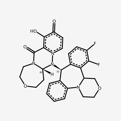 O=C1c2c(O)c(=O)ccn2N([C@@H]2c3ccccc3N3CCOCC3c3c2ccc(F)c3F)[C@@H]2CCOCCN12